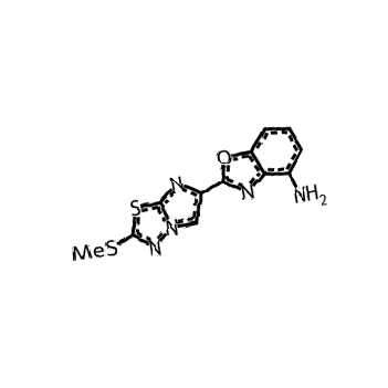 CSc1nn2cc(-c3nc4c(N)cccc4o3)nc2s1